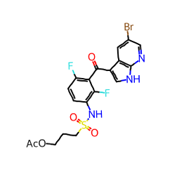 CC(=O)OCCCS(=O)(=O)Nc1ccc(F)c(C(=O)c2c[nH]c3ncc(Br)cc23)c1F